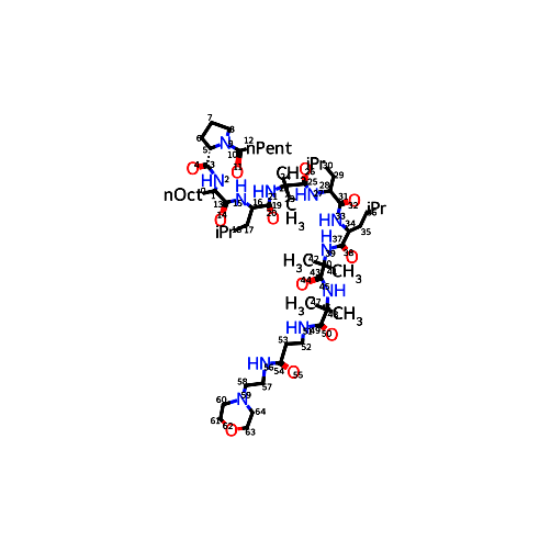 CCCCCCCCC(NC(=O)[C@@H]1CCCN1C(=O)CCCCC)C(=O)NC(CC(C)C)C(=O)NC(C)(C)C(=O)NC(CC(C)C)C(=O)NC(CC(C)C)C(=O)NC(C)(C)C(=O)NC(C)(C)C(=O)NCCC(=O)NCCN1CCOCC1